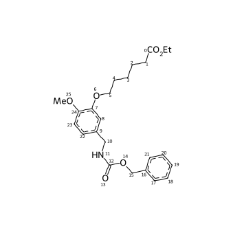 CCOC(=O)CCCCCOc1cc(CNC(=O)OCc2ccccc2)ccc1OC